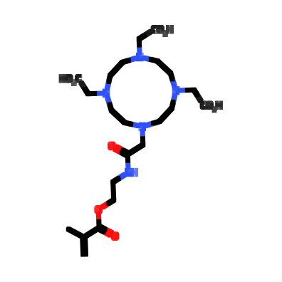 C=C(C)C(=O)OCCNC(=O)CN1CCN(CC(=O)O)CCN(CC(=O)O)CCN(CC(=O)O)CC1